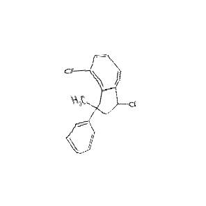 CC1(c2ccccc2)CC(Cl)c2cccc(Cl)c21